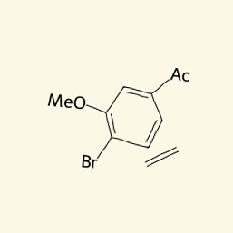 C=C.COc1cc(C(C)=O)ccc1Br